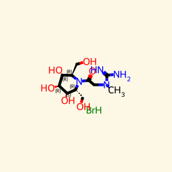 Br.CN(CC(=O)N1[C@H](CO)[C@H](O)[C@@H](O)[C@H](O)[C@H]1CO)C(=N)N